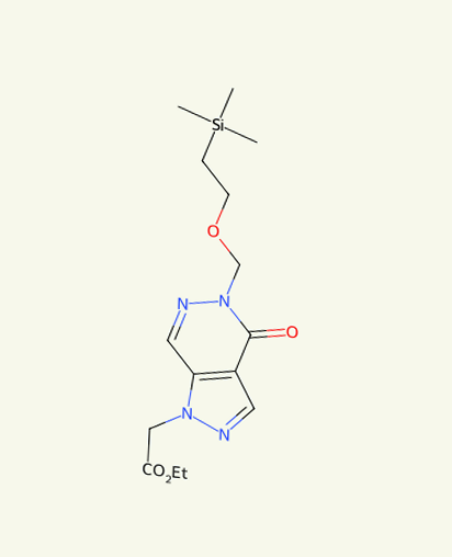 CCOC(=O)Cn1ncc2c(=O)n(COCC[Si](C)(C)C)ncc21